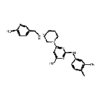 CCCc1cc(N2CCC[C@@H](NCc3ccc(O)cc3)C2)nc(Nc2ccc(C)c(C#N)c2)n1